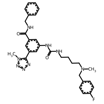 CN(CCCCNC(=O)Nc1cc(C(=O)NCc2ccccc2)cc(-c2nnnn2C)c1)Cc1ccc(F)cc1